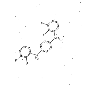 Fc1cccc([SiH2]c2ccc([SiH2]c3cccc(F)c3F)cc2)c1F